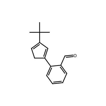 CC(C)(C)C1=CCC(c2ccccc2C=O)=C1